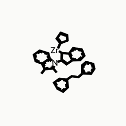 Cc1c(C)n(C2=Cc3ccccc3[CH]2[Zr][C]2=CC=CC2)c2ccccc12.c1ccc(CCc2ccccc2)cc1